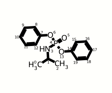 CC(C)NP(=O)(Oc1ccccc1)Oc1ccccc1